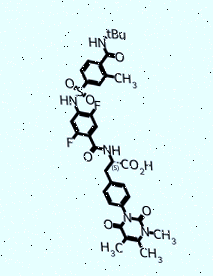 Cc1cc(S(=O)(=O)Nc2cc(F)c(C(=O)N[C@@H](Cc3ccc(-n4c(=O)c(C)c(C)n(C)c4=O)cc3)C(=O)O)cc2F)ccc1C(=O)NC(C)(C)C